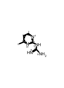 Cc1ccnc(NC(=N)N)n1